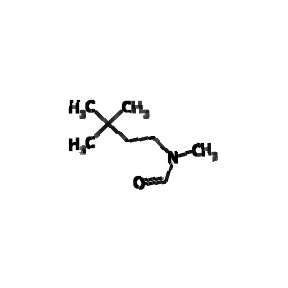 CN(C=O)CCC(C)(C)C